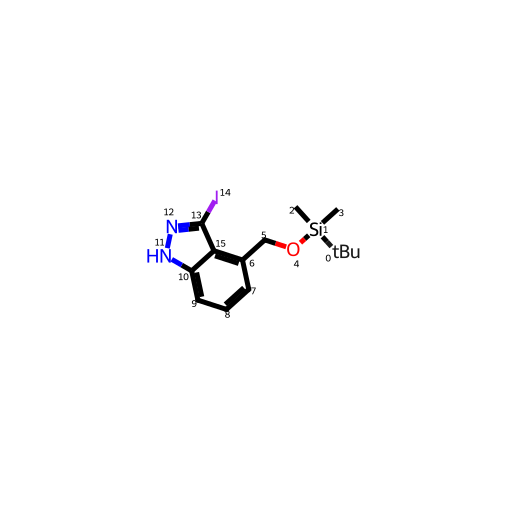 CC(C)(C)[Si](C)(C)OCc1cccc2[nH]nc(I)c12